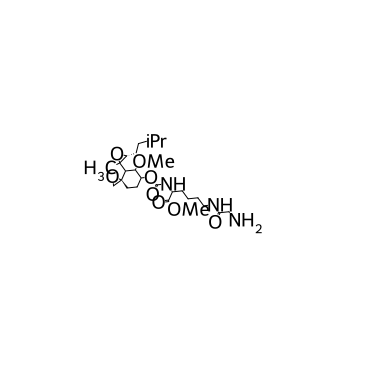 COC(=O)C(CCCCNC(=O)CN)NC(=O)OC1CC[C@]2(CO2)C(C2(C)O[C@@H]2CCC(C)C)C1OC